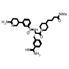 CNC(=O)CCCC1CCN(C(=O)[C@H](Cc2cccc(C(=N)N)c2)N[S+]([O-])c2cccc(C3CCC(N)=NC3)c2)CC1